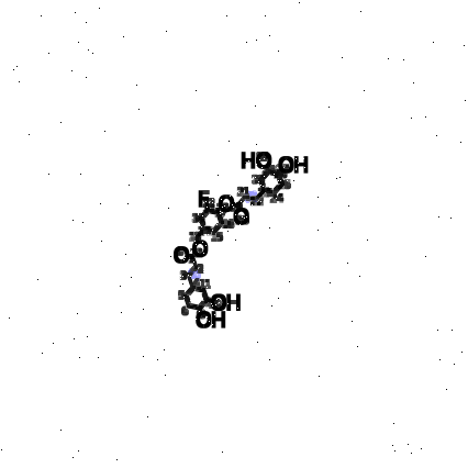 O=C(/C=C/c1ccc(O)c(O)c1)OCc1ccc(OC(=O)/C=C/c2ccc(O)c(O)c2)c(F)c1